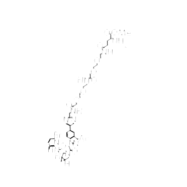 COC(=O)[C@@H](N)CCC(=O)NCCOCCOCC(=O)NCCOCCOCC(=O)NCc1ncc(-c2ccc3c(c2)c(C(C)=O)nn3CC(=O)N2C[C@H]3C[C@H]3[C@H]2C(=O)Nc2nc(Br)ccc2C)cn1